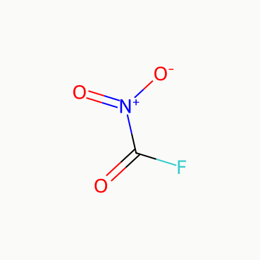 O=C(F)[N+](=O)[O-]